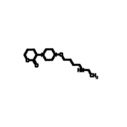 CCNCCCCON1CCN(C2CCCOC2=O)CC1